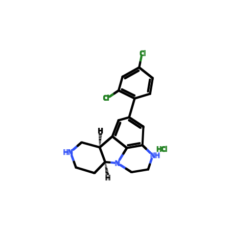 Cl.Clc1ccc(-c2cc3c4c(c2)[C@@H]2CNCC[C@@H]2N4CCN3)c(Cl)c1